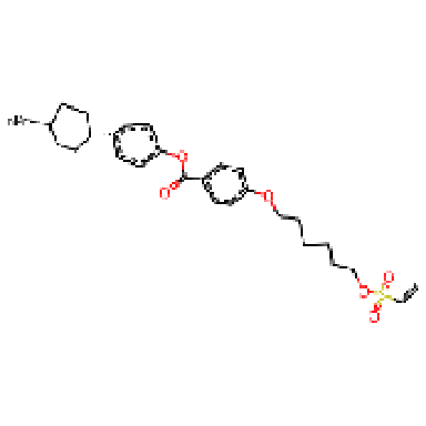 C=CS(=O)(=O)OCCCCCCOc1ccc(C(=O)Oc2ccc([C@H]3CC[C@H](CCC)CC3)cc2)cc1